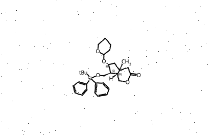 CC(C)(C)[Si](OC[C@@H]1[C@H]2COC(=O)C[C@@]2(C)C[C@H]1OC1CCCCO1)(c1ccccc1)c1ccccc1